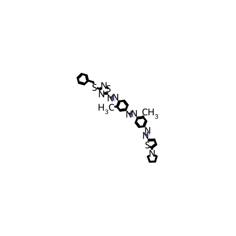 Cc1cc(/N=N/c2ccc(N3CCCC3)s2)ccc1/N=N/c1ccc(/N=N/c2nc(SCc3ccccc3)ns2)c(C)c1